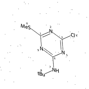 CSc1nc(Cl)nc(NC(C)(C)C)n1